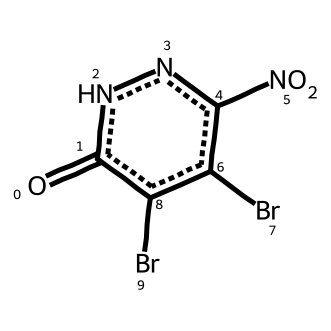 O=c1[nH]nc([N+](=O)[O-])c(Br)c1Br